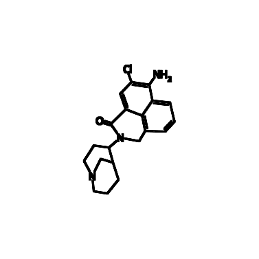 Nc1c(Cl)cc2c3c(cccc13)CN(C1CCN3CCCC1C3)C2=O